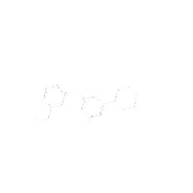 OCc1cccc(Oc2cccc(C3CCNCC3)c2)c1